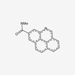 CNC(=O)c1cc2ccc3cccc4cnc(c1)c2c34